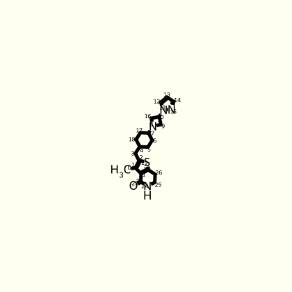 Cc1c(CC2CCC(N3CC(n4cccn4)C3)CC2)sc2c1C(=O)NCC2